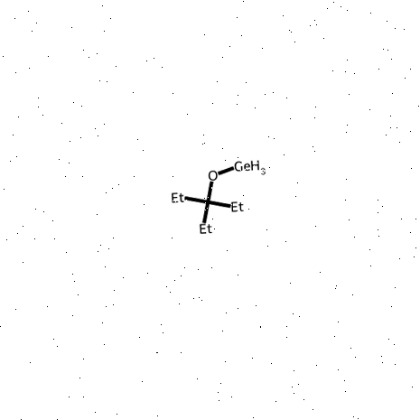 CCC(CC)(CC)[O][GeH3]